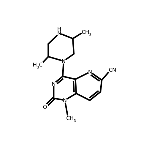 CC1CN(c2nc(=O)n(C)c3ccc(C#N)nc23)C(C)CN1